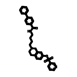 O=C(NCCCCN1CCc2ccc(OS(=O)(=O)c3cccnc3)cc2C1)c1ccc(-c2ccccc2)cc1